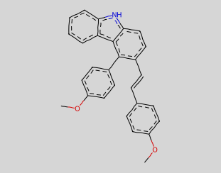 COc1ccc(C=Cc2ccc3[nH]c4ccccc4c3c2-c2ccc(OC)cc2)cc1